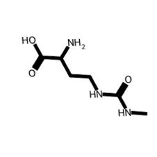 CNC(=O)NCCC(N)C(=O)O